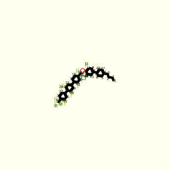 CCCCc1ccc(-c2cc(F)c(OC(F)(F)c3ccc(-c4cc(F)c(-c5ccc(C(F)(F)F)c(F)c5)c(F)c4)c(F)c3)c(Cl)c2)cc1